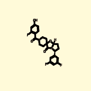 O=C(c1ccc(O)cc1F)N1CCC2(CC1)O[C@@H]1CC[C@@H](c3cc(F)cc(F)c3)N1C2=O